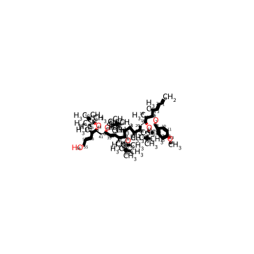 C=CC=C[C@H](C)[C@H](OCc1ccc(OC)cc1)[C@@H](C)[C@@H](CC[C@H](C)C[C@H](C)[C@@H](O[Si](C)(C)C(C)(C)C)[C@@H](C)C=C[C@H](C[C@H](O[Si](C)(C)C(C)(C)C)[C@H](C)C=CCO)O[Si](C)(C)C(C)(C)C)O[Si](C)(C)C(C)(C)C